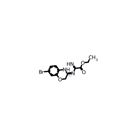 CCOC(=O)C(=N)/N=C1/COc2cc(Br)ccc2N1